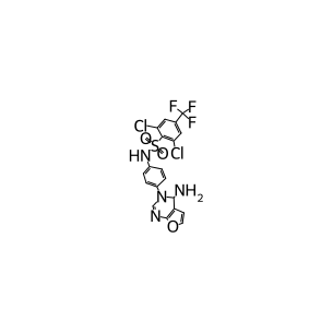 NC1c2ccoc2N=CN1c1ccc(NS(=O)(=O)c2c(Cl)cc(C(F)(F)F)cc2Cl)cc1